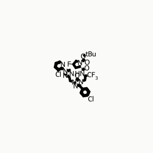 CC(C)(C)OC(=O)N1C[C@@H](F)C[C@H]1C(=O)NC(Cn1c(-c2ccc(Cl)cc2)nn(Cc2ncn(-c3ncccc3Cl)n2)c1=O)C(F)(F)F